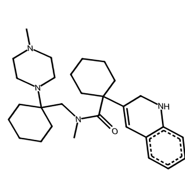 CN1CCN(C2(CN(C)C(=O)C3(C4=Cc5ccccc5NC4)CCCCC3)CCCCC2)CC1